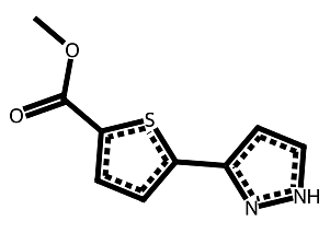 COC(=O)c1ccc(-c2cc[nH]n2)s1